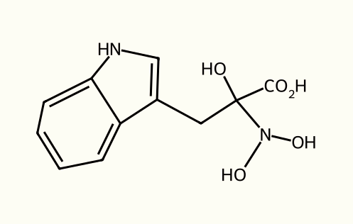 O=C(O)C(O)(Cc1c[nH]c2ccccc12)N(O)O